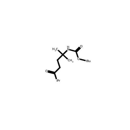 CC(C)C(=O)CCC(C)(C)NC(=O)OC(C)(C)C